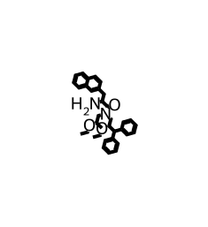 CCOC(CN(CCC(c1ccccc1)c1ccccc1)C(=O)C(N)Cc1ccc2ccccc2c1)OCC